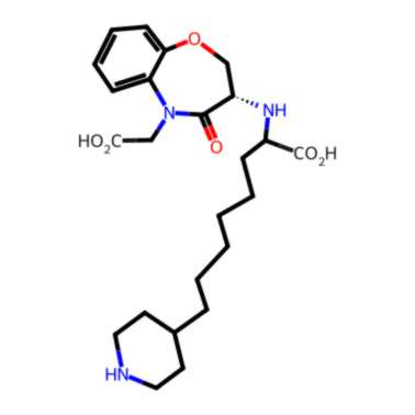 O=C(O)CN1C(=O)[C@@H](NC(CCCCCCC2CCNCC2)C(=O)O)COc2ccccc21